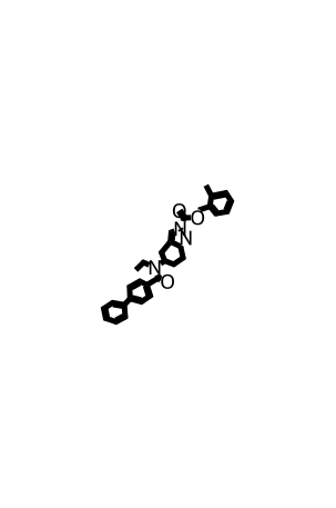 CCN(C(=O)c1ccc(-c2ccccc2)cc1)C1CCc2nn(C(=O)OCc3ccccc3C)cc2C1